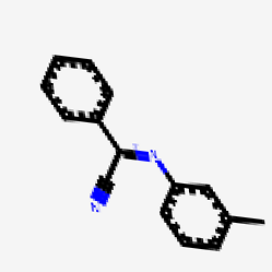 Cc1cccc(/N=C(\C#N)c2ccccc2)c1